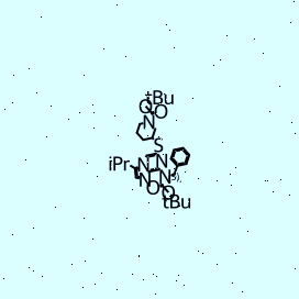 CC(C)c1cnc2c(N(C(=O)OC(C)(C)C)[C@@H](C)c3ccccc3)nc(SC3CCCN(C(=O)OC(C)(C)C)C3)cn12